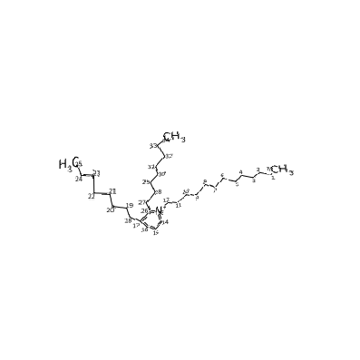 CCCCCCCCCCCCC[n+]1cccc(CCCCCCCC)c1CCCCCCCC